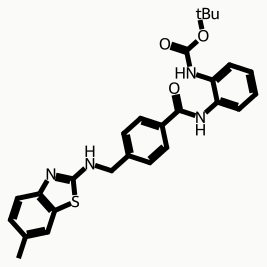 Cc1ccc2nc(NCc3ccc(C(=O)Nc4ccccc4NC(=O)OC(C)(C)C)cc3)sc2c1